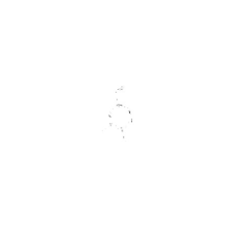 C=[C]c1ccc(Cl)c(C)c1